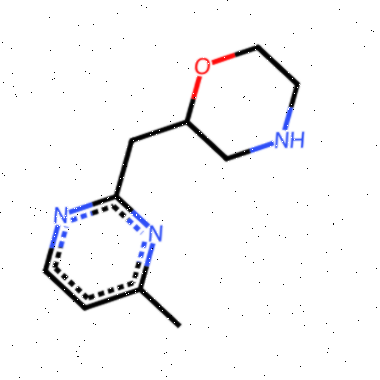 Cc1ccnc(CC2CNCCO2)n1